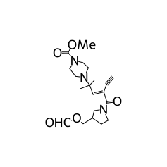 C#C/C(=C\C(C)(C)N1CCN(C(=O)OC)CC1)C(=O)N1CCC(COC=O)C1